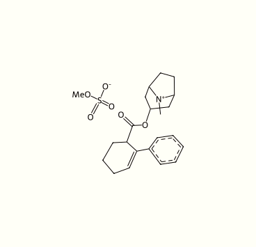 COS(=O)(=O)[O-].C[N+]1(C)C2CCC1CC(OC(=O)C1CCCC=C1c1ccccc1)C2